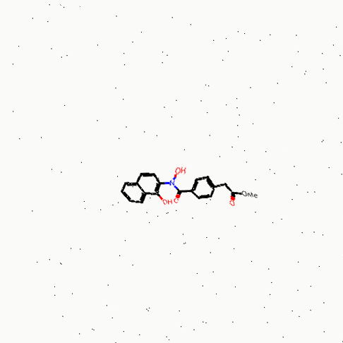 COC(=O)Cc1ccc(C(=O)N(O)c2ccc3ccccc3c2O)cc1